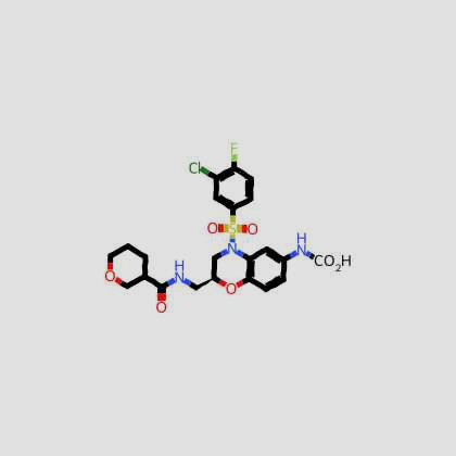 O=C(O)Nc1ccc2c(c1)N(S(=O)(=O)c1ccc(F)c(Cl)c1)C[C@H](CNC(=O)C1CCCOC1)O2